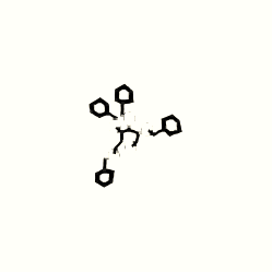 c1ccc(COCC2OCC(OCc3ccccc3)C(OCc3ccccc3)C2OCc2ccccc2)cc1